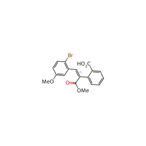 COC(=O)/C(=C\c1cc(OC)ccc1Br)c1ccccc1C(=O)O